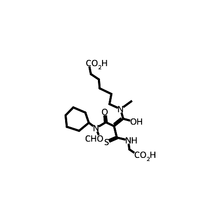 CN(CCCCCC(=O)O)/C(O)=C(\C(=O)N(C=O)C1CCCCC1)C(=S)NCC(=O)O